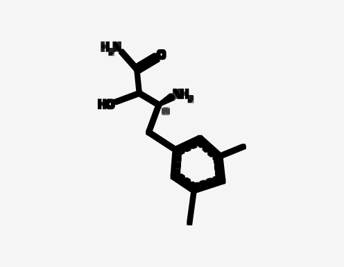 Cc1cc(C)cc(C[C@H](N)C(O)C(N)=O)c1